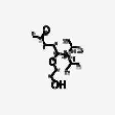 CC(=O)CCC(OCCO)N(C(C)C)C(C)C